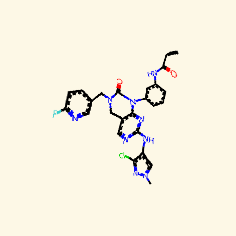 C=CC(=O)Nc1cccc(N2C(=O)N(Cc3ccc(F)nc3)Cc3cnc(Nc4cn(C)nc4Cl)nc32)c1